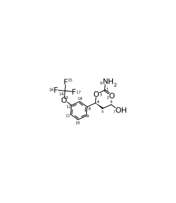 NC(=O)O[C@@H](CCO)c1cccc(OC(F)(F)F)c1